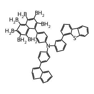 Bc1c(B)c(B)c2c(-c3ccc(N(c4ccc(-c5cccc6ccccc56)cc4)c4cccc(-c5cccc6c5sc5ccccc56)c4)cc3)c(B)c(B)c(B)c2c1B